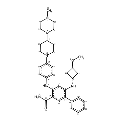 CO[C@H]1C[C@H](Nc2nc(Nc3ccc(N4CCC(N5CCN(C)CC5)CC4)cc3)c(C(N)=O)nc2-c2ccccc2)C1